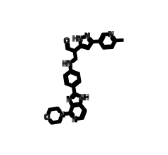 Cc1ccc(-c2cc(C(C=O)CNc3ccc(-c4nc5c(N6CCOCC6)nccc5[nH]4)cc3)[nH]n2)cn1